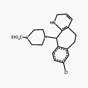 CCOC(=O)N1CCN(C2C3=C(C=CCN3)CCc3cc(Cl)ccc32)CC1